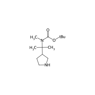 CN(C(=O)OC(C)(C)C)C(C)(C)C1CCNC1